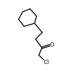 O=C(CCl)CCC1CCCCC1